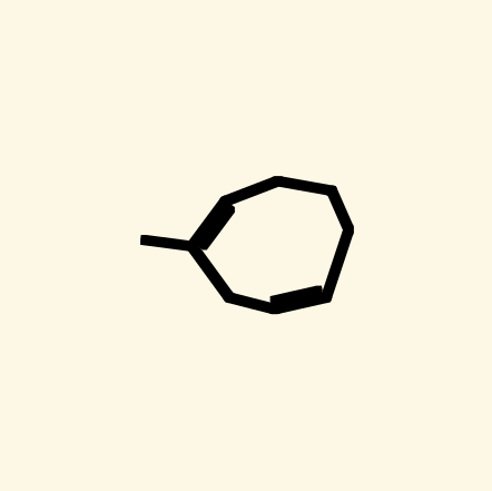 C/C1=C/CCC/C=C\C1